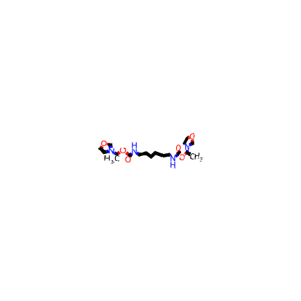 CC(OC(=O)NCCCCCCNC(=O)OC(C)N1CCOC1)N1CCOC1